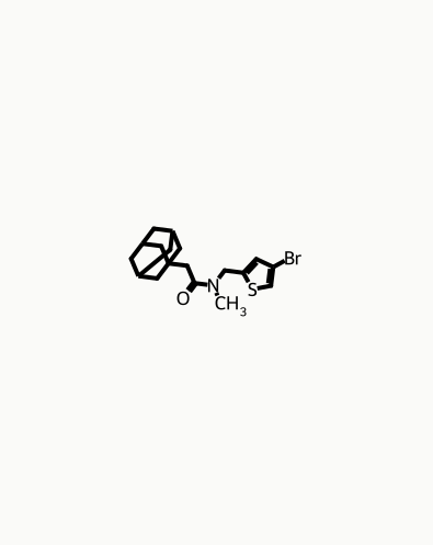 CN(Cc1cc(Br)cs1)C(=O)CC12CC3CC(CC(C3)C1)C2